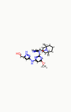 COc1cc(Nc2cc(CO)[nH]n2)nc(N(C)[C@H]2C[C@H]3CCC[C@@H](C2)N3CCC#N)n1